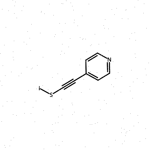 ISC#Cc1ccncc1